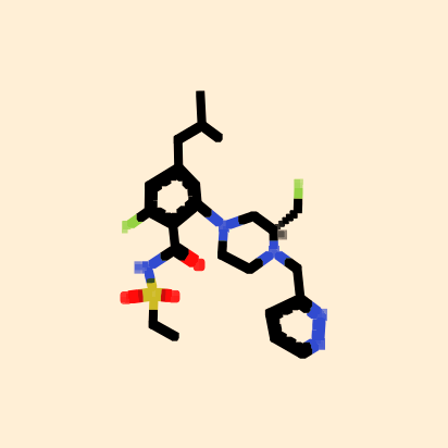 CCS(=O)(=O)NC(=O)c1c(F)cc(CC(C)C)cc1N1CCN(Cc2cccnn2)[C@@H](CF)C1